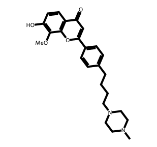 COc1c(O)ccc2c(=O)cc(-c3ccc(CCCCN4CCN(C)CC4)cc3)oc12